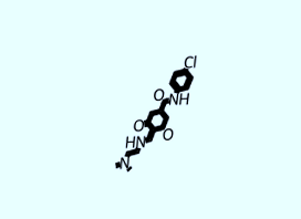 CN(C)CCNC=C1C(=O)CC(C(=O)Nc2ccc(Cl)cc2)CC1=O